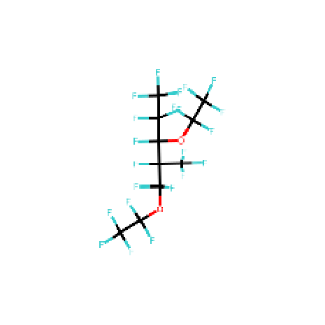 FC(F)(F)C(F)(F)OC(F)(F)C(F)(C(F)(F)F)C(F)(OC(F)(F)C(F)(F)F)C(F)(F)C(F)(F)F